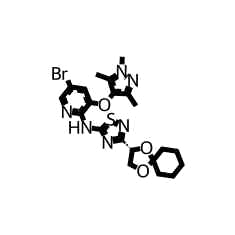 Cc1nn(C)c(C)c1Oc1cc(Br)cnc1Nc1nc([C@H]2COC3(CCCCC3)O2)ns1